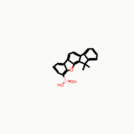 CC1(C)c2ccccc2-c2ccc3c(oc4c(B(O)O)cccc43)c21